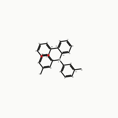 Cc1cccc(N(c2cccc(C)c2)c2ccccc2-c2ccccc2)c1